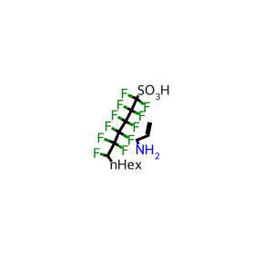 C=CCN.CCCCCCC(F)C(F)(F)C(F)(F)C(F)(F)C(F)(F)C(F)(F)S(=O)(=O)O